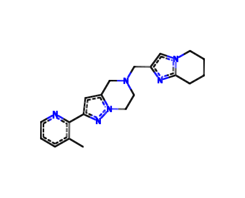 Cc1cccnc1-c1cc2n(n1)CCN(Cc1cn3c(n1)CCCC3)C2